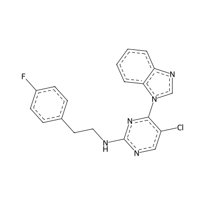 Fc1ccc(CCNc2ncc(Cl)c(-n3cnc4ccccc43)n2)cc1